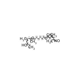 C=CC(O)=C=C(C)/C=C(\C)OCCCCCCO/C(C)=C/C(C)=C\C(C)N=O